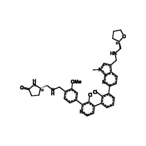 COc1cc(-c2nccc(-c3cccc(-c4ccc5c(CNC[C@H]6CCCO6)cn(C)c5n4)c3Cl)c2Cl)ccc1CNC[C@@H]1CCC(=O)N1